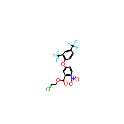 O=C(OCCCl)c1cc(Oc2ccc(C(F)(F)F)cc2C(F)(F)F)ccc1[N+](=O)[O-]